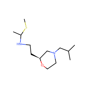 CSC(C)NCC[C@H]1CN(CC(C)C)CCO1